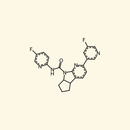 O=C(Nc1ccc(F)cn1)N1c2nc(-c3cncc(F)c3)ccc2C2CCCC21